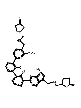 COc1nc(-c2cccc(-c3cccc(-c4ncc5c(CNCC6CCC(=O)N6)cn(C)c5n4)c3Cl)c2Cl)ccc1CNC[C@@H]1CCC(=O)N1